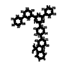 CC1(C)c2ccccc2-c2ccc(-c3ccc(-c4nc(-c5cccnc5)nc(-c5cccc(-c6ccccc6)c5)n4)cc3)cc21